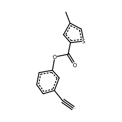 [C]#Cc1cccc(OC(=O)c2cc(C)cs2)c1